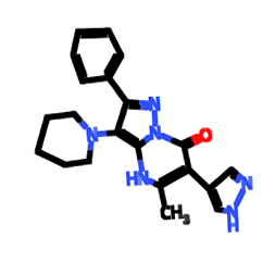 Cc1[nH]c2c(N3CCCCC3)c(-c3ccccc3)nn2c(=O)c1-c1cn[nH]c1